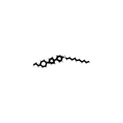 CCCCCCCCCCOc1ccc(-c2ccc(C3CCC(CCC)CC3)cc2)cc1